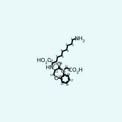 NCCCCCCCC[C@H](N[C@H]1COc2ccccc2N(CC(=O)O)C1=O)C(=O)O